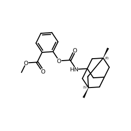 COC(=O)c1ccccc1OC(=O)NC12CC3C[C@@](C)(C1)C[C@](C)(C3)C2